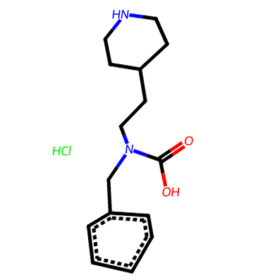 Cl.O=C(O)N(CCC1CCNCC1)Cc1ccccc1